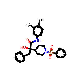 N#Cc1ccc(NC(=O)C(O)(Cc2ccccc2)C2CCN(S(=O)(=O)c3ccccc3)CC2)cc1C(F)(F)F